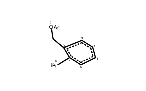 CC(=O)OCc1ccccc1C(C)C